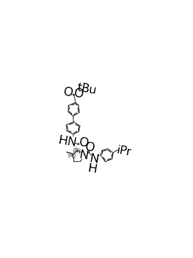 CC(C)c1ccc(NC(=O)N2CC[C@@H](C)[C@@H]2C(=O)Nc2ccc(-c3ccc(C(=O)OC(C)(C)C)cc3)cc2)cc1